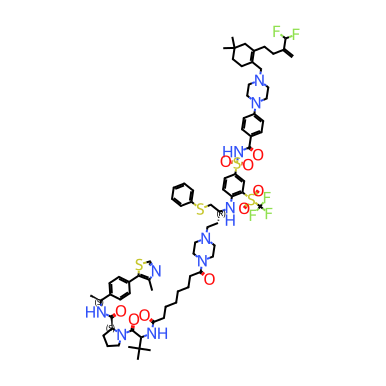 C=C(CCC1=C(CN2CCN(c3ccc(C(=O)NS(=O)(=O)c4ccc(N[C@H](CCN5CCN(C(=O)CCCCCCC(=O)NC(C(=O)N6CCC[C@H]6C(=O)N[C@@H](C)c6ccc(-c7scnc7C)cc6)C(C)(C)C)CC5)CSc5ccccc5)c(S(=O)(=O)C(F)(F)F)c4)cc3)CC2)CCC(C)(C)C1)C(F)F